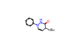 CCCCC1C=CN(c2ccccc2)NC1=O